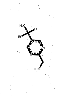 CCC(C)(CC)c1cnc(CN)nc1